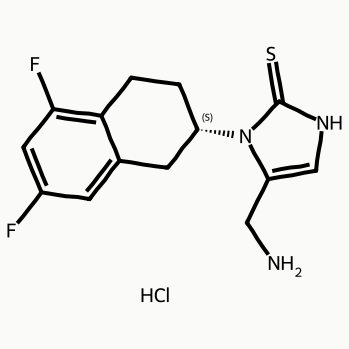 Cl.NCc1c[nH]c(=S)n1[C@H]1CCc2c(F)cc(F)cc2C1